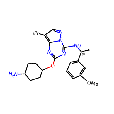 COc1cccc([C@H](C)Nc2nc(OC3CCC(N)CC3)nc3c(C(C)C)cnn23)c1